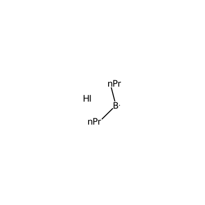 CCC[B]CCC.I